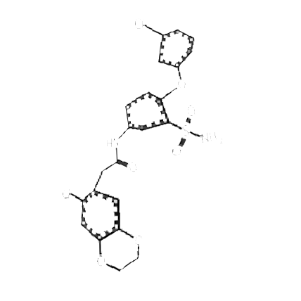 NS(=O)(=O)c1cc(NC(=O)Cc2cc3c(cc2Cl)OCCO3)ccc1Oc1cccc(Cl)c1